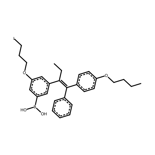 CCCCOc1ccc(/C(=C(\CC)c2cc(OCCCI)cc(B(O)O)c2)c2ccccc2)cc1